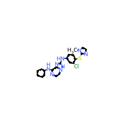 Cn1ccnc1Sc1ccc(Nc2nc3c(Nc4ccccc4)nccn3n2)cc1Cl